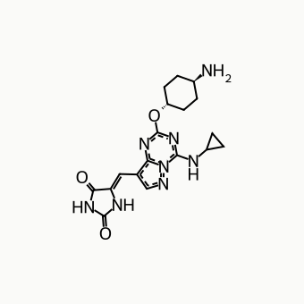 N[C@H]1CC[C@H](Oc2nc(NC3CC3)n3ncc(/C=C4\NC(=O)NC4=O)c3n2)CC1